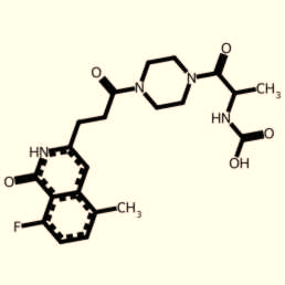 Cc1ccc(F)c2c(=O)[nH]c(CCC(=O)N3CCN(C(=O)C(C)NC(=O)O)CC3)cc12